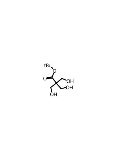 CC(C)(C)OC(=O)C(CO)(CO)CO